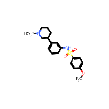 O=C(O)N1CCCC(c2cccc(NS(=O)(=O)c3ccc(OC(F)(F)F)cc3)c2)C1